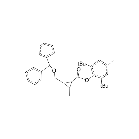 Cc1cc(C(C)(C)C)c(OC(=O)C2C(C)C2COC(c2ccccc2)c2ccccc2)c(C(C)(C)C)c1